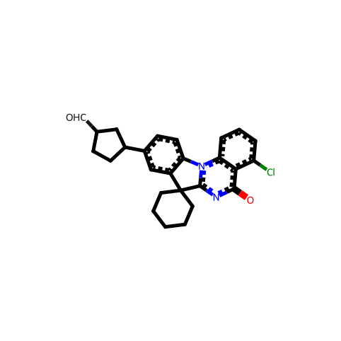 O=CC1CCC(c2ccc3c(c2)C2(CCCCC2)c2nc(=O)c4c(Cl)cccc4n2-3)C1